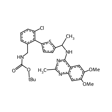 COc1cc2nc(C)nc(NC(C)c3ccc(-c4c(Cl)cccc4CNC(=O)OC(C)(C)C)s3)c2cc1OC